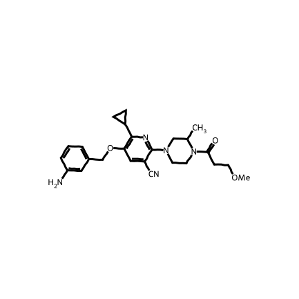 COCCC(=O)N1CCN(c2nc(C3CC3)c(OCc3cccc(N)c3)cc2C#N)CC1C